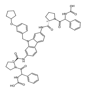 O=C(O)NC(C(=O)N1CCC[C@H]1C(=O)Nc1ccc2c3ccc(NC(=O)[C@@H]4CCCN4C(=O)C(NC(=O)O)c4ccccc4)cc3n(Cc3cccc(OC4CCCC4)c3)c2c1)c1ccccc1